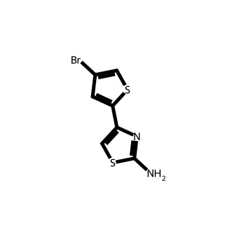 Nc1nc(-c2cc(Br)cs2)cs1